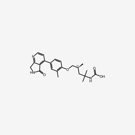 Cc1cc(-c2ccnc3c2C(=O)NC3)ccc1OC[C@@H](C)CC(C)(C)NC(=O)O